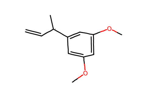 C=C[C](C)c1cc(OC)cc(OC)c1